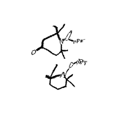 CCCON1C(C)(C)CC(=O)CC1(C)C.CCCON1C(C)(C)CCCC1(C)C